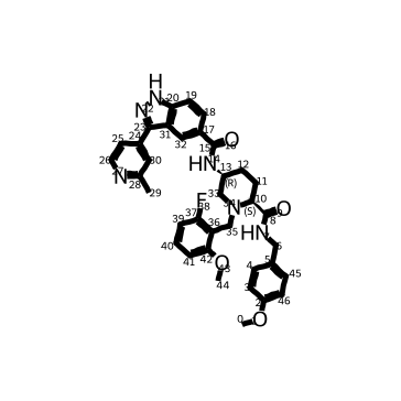 COc1ccc(CNC(=O)[C@@H]2CC[C@@H](NC(=O)c3ccc4[nH]nc(-c5ccnc(C)c5)c4c3)CN2Cc2c(F)cccc2OC)cc1